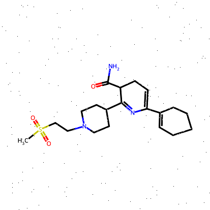 CS(=O)(=O)CCN1CCC(C2=NC(C3=CCCCC3)=[C]CC2C(N)=O)CC1